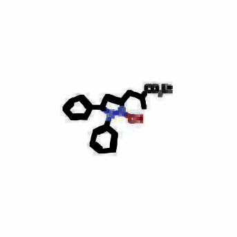 CCOC(=O)C(C)CC1=CC(c2ccccc2)N(c2ccccc2)N1O